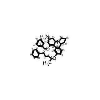 CC(CCCc1ccccc1)Oc1ccc2c(c1)C1=C(OCc3ccccc3)CC(N)CC1N1CCCC21